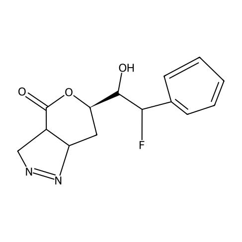 O=C1O[C@@H](C(O)C(F)c2ccccc2)CC2N=NCC12